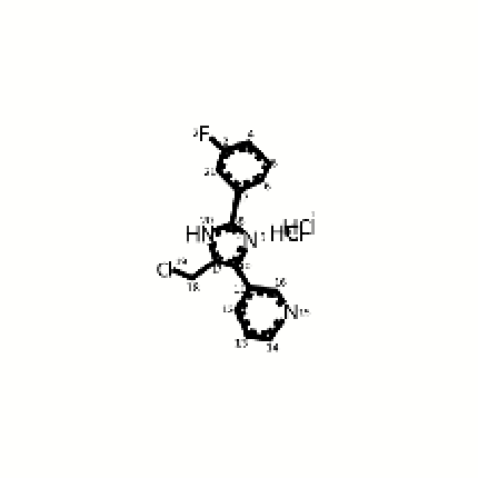 Cl.Cl.Fc1cccc(-c2nc(-c3cccnc3)c(CCl)[nH]2)c1